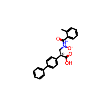 Cc1ccccc1C(=O)[NH+]([O-])C[C@@H](C(=O)O)c1ccc(-c2ccccc2)cc1